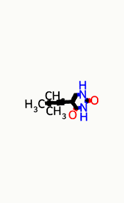 CC(C)(C)C#Cc1c[nH]c(=O)[nH]c1=O